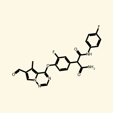 Cc1c(C=O)cn2ncnc(Oc3ccc(C(C(N)=O)C(=O)Nc4ccc(F)cc4)cc3F)c12